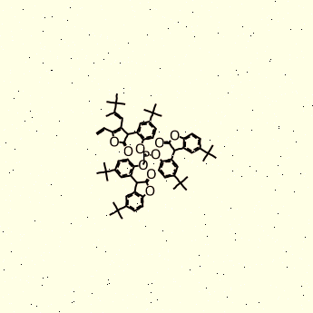 C=CC1=C(/C=C(\C)C(C)(C)C)C(c2cc(C(C)(C)C)ccc2OP(Oc2ccc(C(C)(C)C)cc2C2C(=O)Oc3ccc(C(C)(C)C)cc32)Oc2ccc(C(C)(C)C)cc2C2C(=O)Oc3ccc(C(C)(C)C)cc32)C(=O)O1